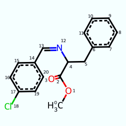 COC(=O)C(Cc1ccccc1)/N=C\c1ccc(Cl)cc1